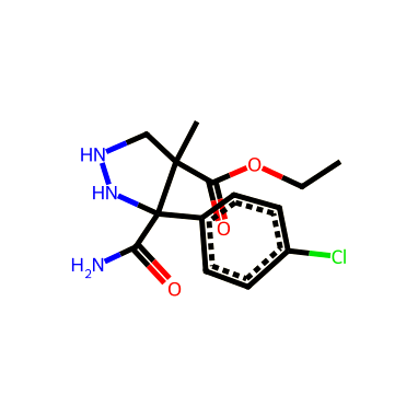 CCOC(=O)C1(C)CNNC1(C(N)=O)c1ccc(Cl)cc1